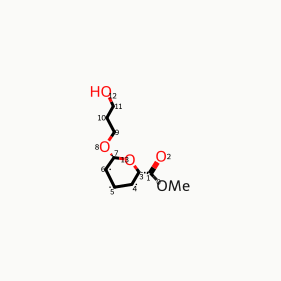 COC(=O)[C@@H]1[CH][CH][CH][C@H](OCCCO)O1